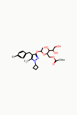 CCc1ccc(Cc2c(OC(C)OC(COC(=O)OC)C(O)C(O)CO)nn(C3CCC3)c2C(F)(F)F)cc1